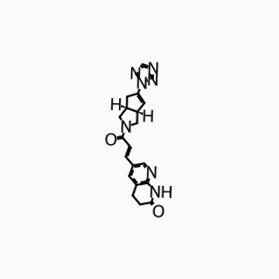 O=C1CCc2cc(/C=C/C(=O)N3C[C@@H]4CC(n5ncnn5)=C[C@@H]4C3)cnc2N1